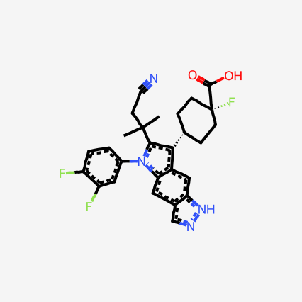 CC(C)(CC#N)c1c([C@H]2CC[C@](F)(C(=O)O)CC2)c2cc3[nH]ncc3cc2n1-c1ccc(F)c(F)c1